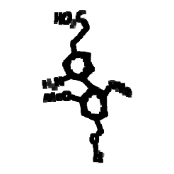 CCOCc1cc(OC)c(-c2ccc(CCC(=O)O)cc2N)c(OC)c1